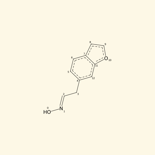 ON=CCc1ccc2ccoc2c1